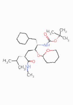 CNC(=O)[C@H](CC(C)C)C[C@H](OC1CCCCO1)[C@H](CC1CCCCC1)NC(=O)OC(C)(C)C